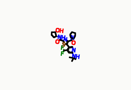 CC(C)(C)Nc1cc(C(F)F)c(-c2sc(C(=O)N[C@@H]3CCC[C@H]3O)nc2C(=O)N2C3CCC2CC3)cn1